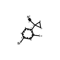 N#CC1(c2ccc(Br)cc2I)CC1